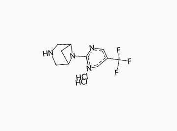 Cl.Cl.FC(F)(F)c1cnc(N2C3CNCC2C3)nc1